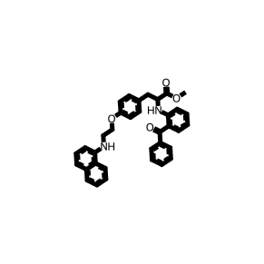 COC(=O)C(Cc1ccc(OCCNc2cccc3ccccc23)cc1)Nc1ccccc1C(=O)c1ccccc1